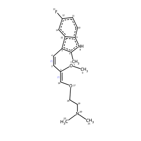 COC(/C=C\c1c(C)[nH]c2ccc(F)cc12)=C\OCCN(C)C